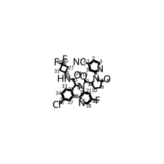 N#Cc1ccnc(N2C(=O)CC[C@H]2C(=O)N(c2cncc(F)c2)C(C(=O)NC2CC(F)(F)C2)c2ccc(Cl)cc2)c1